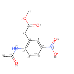 COC(=O)Cc1cc([N+](=O)[O-])ccc1NC(C)=O